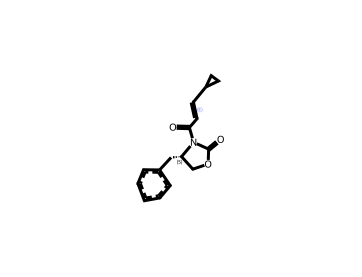 O=C(/C=C/C1CC1)N1C(=O)OC[C@@H]1Cc1ccccc1